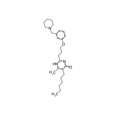 CCCCCCc1c(C)[nH]c(CCCOc2cccc(CN3CCCCC3)c2)nc1=O